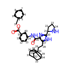 O=C(OCc1ccccc1)c1cccc(NC(=O)c2nc(C3CCCN3)[nH]c2CCC23CC4CC(CC(C4)C2)C3)c1